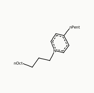 CCCCCCCCCCC[n+]1ccc(CCCCC)cc1